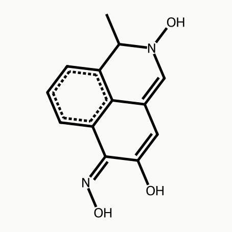 CC1c2cccc3c2C(=CN1O)C=C(O)C3=NO